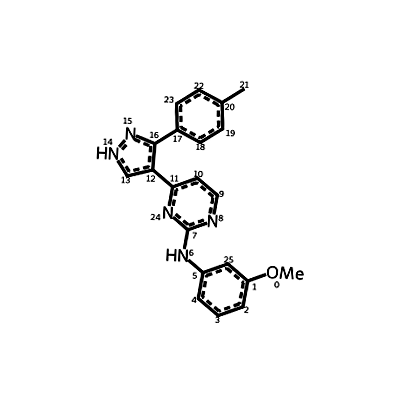 COc1cccc(Nc2nccc(-c3c[nH]nc3-c3ccc(C)cc3)n2)c1